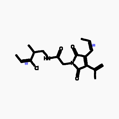 C=C(C)C1=C(/C=C\C)C(=O)N(CC(=O)NCC(C)/C(Cl)=C\C)C1=O